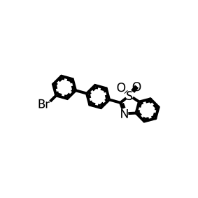 O=S1(=O)C(c2ccc(-c3cccc(Br)c3)cc2)=Nc2ccccc21